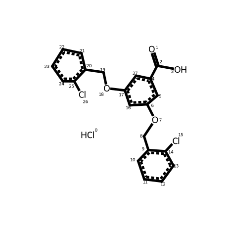 Cl.O=C(O)c1cc(OCc2ccccc2Cl)cc(OCc2ccccc2Cl)c1